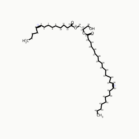 CCCC/C=C\CCCCCCCC(=O)OC[C@H](CO)OC(=O)CCCCCCCCCCCCC/C=C\CCCCCCCC